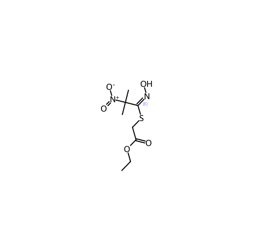 CCOC(=O)CS/C(=N/O)C(C)(C)[N+](=O)[O-]